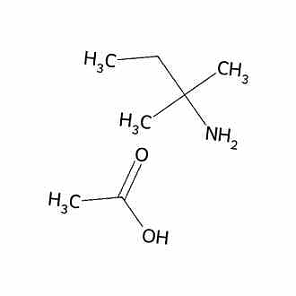 CC(=O)O.CCC(C)(C)N